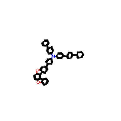 c1ccc(-c2ccc(-c3ccc(N(c4ccc(-c5ccccc5)cc4)c4ccc(-c5ccc6c(c5)oc5ccc7oc8ccccc8c7c56)cc4)cc3)cc2)cc1